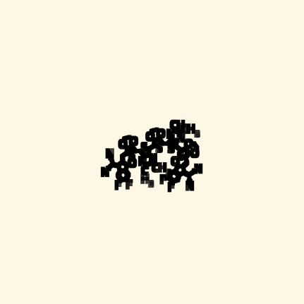 Cc1nc2c(-c3sc(/C=C4\C(=O)c5cc(F)c(F)cc5C4=C(C#N)C#N)c4c3OCCO4)sc(-c3sc(-c4sc(-c5sc(/C=C6\C(=O)c7cc(F)c(F)cc7C6=C(C#N)C#N)c6c5OCCO6)c5nc(C)c(C)nc45)c4c3OCCO4)c2nc1C